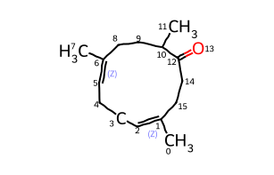 C/C1=C/CC/C=C(/C)CCC(C)C(=O)CC1